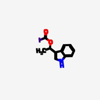 CC(OC(=O)I)c1c[nH]c2ccccc12